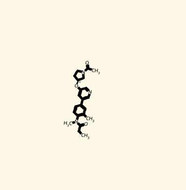 CCC(=O)N(C)c1ccc(-c2cncc(O[C@H]3CCN(C(C)=O)C3)c2)cc1C